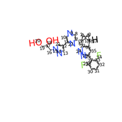 CC1(C)[C@H]2CC[C@]1(c1cncc(-c3cnn(CC(O)CO)c3)n1)c1nnc(-c3c(F)cccc3F)cc12